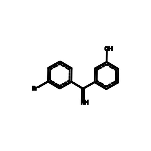 N=C(c1cccc(O)c1)c1cccc(Br)c1